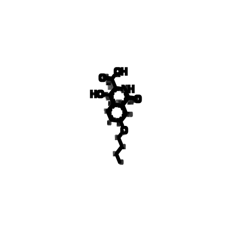 CCCCOc1ccc2c(O)c(C(=O)O)[nH]c(=O)c2c1